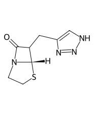 O=C1C(Cc2c[nH]nn2)[C@@H]2SCCN12